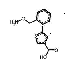 NOCc1ccccc1-c1cc(C(=O)O)cs1